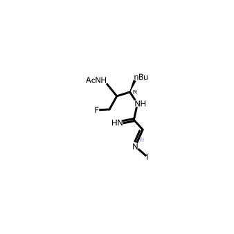 CCCC[C@@H](NC(=N)/C=N/I)C(CF)NC(C)=O